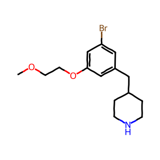 COCCOc1cc(Br)cc(CC2CCNCC2)c1